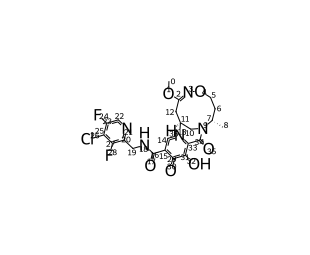 CO/C1=N/OCC[C@H](C)N2C[C@H](C1)n1cc(C(=O)NCc3ncc(F)c(Cl)c3F)c(=O)c(O)c1C2=O